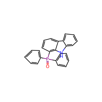 O=P(c1ccccc1)(c1ccccc1)c1cccc2c1[nH]c1ccccc12